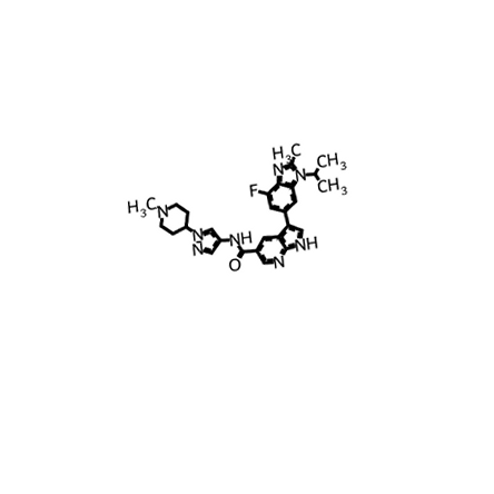 Cc1nc2c(F)cc(-c3c[nH]c4ncc(C(=O)Nc5cnn(C6CCN(C)CC6)c5)cc34)cc2n1C(C)C